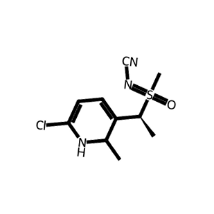 CC1NC(Cl)=CC=C1[C@H](C)S(C)(=O)=NC#N